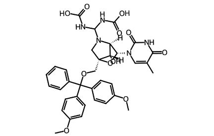 COc1ccc(C(OC[C@@]23CN(C(NC(=O)O)NC(=O)O)[C@@H]([C@H](n4cc(C)c(=O)[nH]c4=O)O2)[C@@H]3O)(c2ccccc2)c2ccc(OC)cc2)cc1